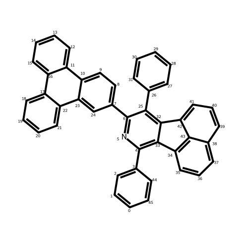 c1ccc(-c2nc(-c3ccc4c5ccccc5c5ccccc5c4c3)c(-c3ccccc3)c3c2-c2cccc4cccc-3c24)cc1